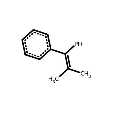 CC(C)=C([PH])c1ccccc1